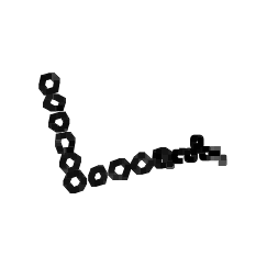 C1CCCCC1.C1CCCCC1.C1CCCCC1.C1CCCCC1.C1CCCCC1.C1CCCCC1.C1CCCCC1.C1CCCCC1.C1CCCCC1.C1CCCCC1.CCOC(C)=O